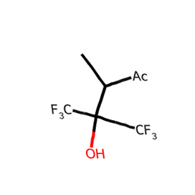 CC(=O)C(C)C(O)(C(F)(F)F)C(F)(F)F